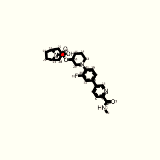 CNC(=O)c1ccc(-c2ccc(N3CCCC(OC(=O)N4C5CCC4CC(O)C5)C3)c(F)c2)cn1